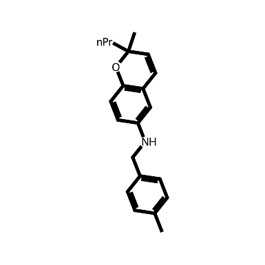 CCCC1(C)C=Cc2cc(NCc3ccc(C)cc3)ccc2O1